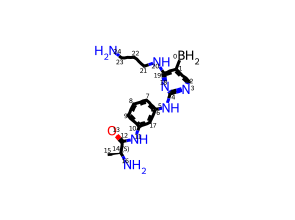 Bc1cnc(Nc2cccc(NC(=O)[C@H](C)N)c2)nc1NCCCN